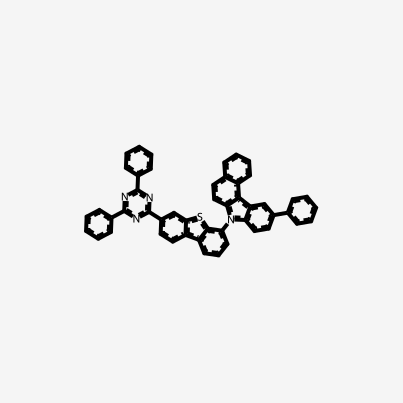 c1ccc(-c2ccc3c(c2)c2c4ccccc4ccc2n3-c2cccc3c2sc2cc(-c4nc(-c5ccccc5)nc(-c5ccccc5)n4)ccc23)cc1